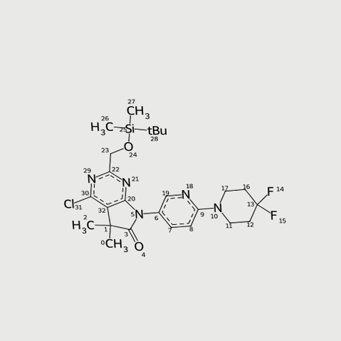 CC1(C)C(=O)N(c2ccc(N3CCC(F)(F)CC3)nc2)c2nc(CO[Si](C)(C)C(C)(C)C)nc(Cl)c21